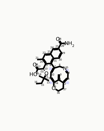 C=C1/C2=C\C=N/C/C(c3c([C@H](OC(C)(C)CC)C(=O)O)c(C)cc4cc(C(N)=O)ccc34)=C\C=C/1OCC2